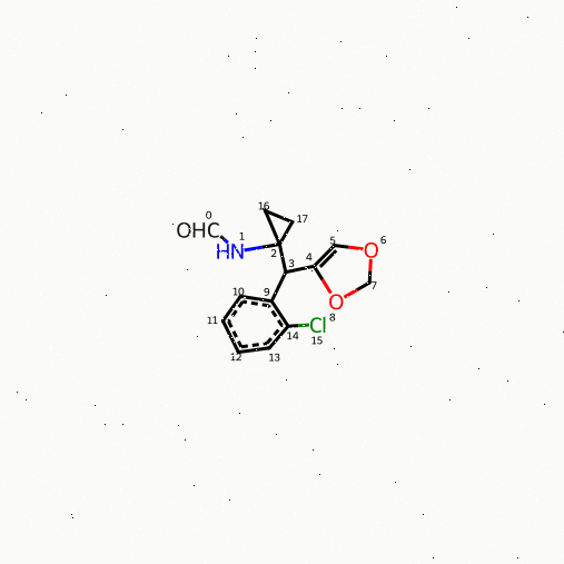 O=CNC1(C(C2=COCO2)c2ccccc2Cl)CC1